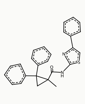 CC1(C(=O)Nc2nc(-c3ccccc3)cs2)CC1(c1ccccc1)c1ccccc1